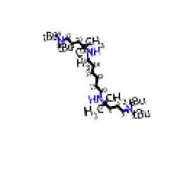 CC(C)(CCCN(C(C)(C)C)C(C)(C)C)NCCCCCCNC(C)(C)CCCN(C(C)(C)C)C(C)(C)C